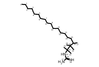 CCCCCCCCCCCCCCCCC(C)C(C)(C)C(C)(C)NC(=N)N